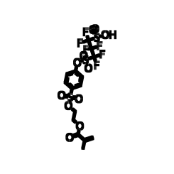 C=C(C)C(=O)OCCOS(=O)(=O)c1ccc(OS(=O)(=O)C(F)(F)C(F)(F)C(F)(F)S(=O)(=O)O)cc1